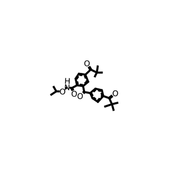 CC(C)ONC(=O)c1ccc(C(=O)C(C)(C)C)cc1C(=O)c1ccc(C(=O)C(C)(C)C)cc1